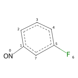 O=Nc1cccc(F)c1